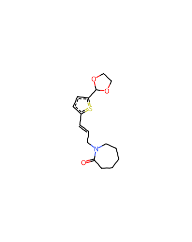 O=C1CCCCCN1CC=Cc1ccc(C2OCCO2)s1